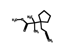 C=CCC1(C(C)(C)C(=O)OC)CCCC1